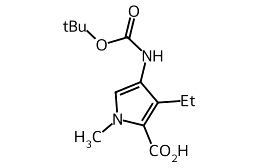 CCc1c(NC(=O)OC(C)(C)C)cn(C)c1C(=O)O